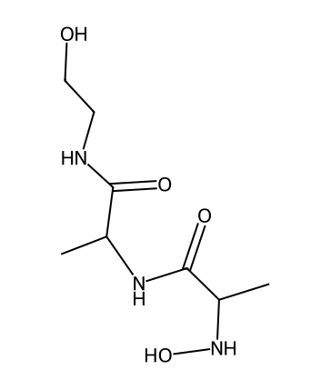 CC(NO)C(=O)NC(C)C(=O)NCCO